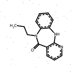 CCCN1C(=O)c2cccnc2Nc2ccccc21